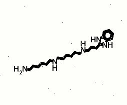 NCCCCCCNCCCCCCNCCCC1Nc2ccccc2N1